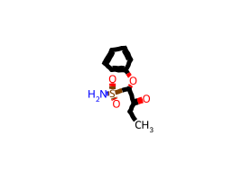 CCC(=O)C(Oc1ccccc1)S(N)(=O)=O